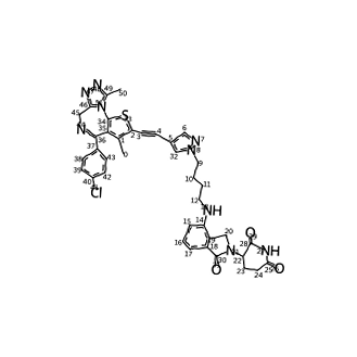 Cc1c(C#Cc2cnn(CCCCNc3cccc4c3CN(C3CCC(=O)NC3=O)C4=O)c2)sc2c1C(c1ccc(Cl)cc1)=NCc1nnc(C)n1-2